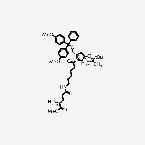 COC(=O)[C@@H](N)CCC(=O)NCCCCCC(=O)N1C[C@H](O[Si](C)(C)C(C)(C)C)C[C@H]1COC(c1ccccc1)(c1ccc(OC)cc1)c1ccc(OC)cc1